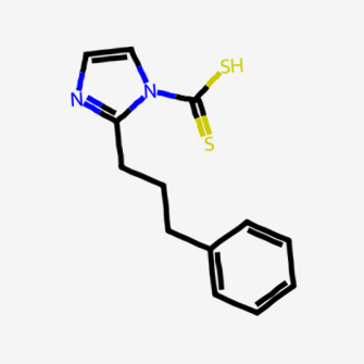 S=C(S)n1ccnc1CCCc1ccccc1